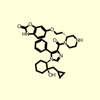 O=C(c1ncn([C@@H]2CCCC[C@@]2(O)CC2CC2)c1-c1ccccc1)N1CCNC[C@H]1CCOc1ccc2[nH]c(=O)oc2c1